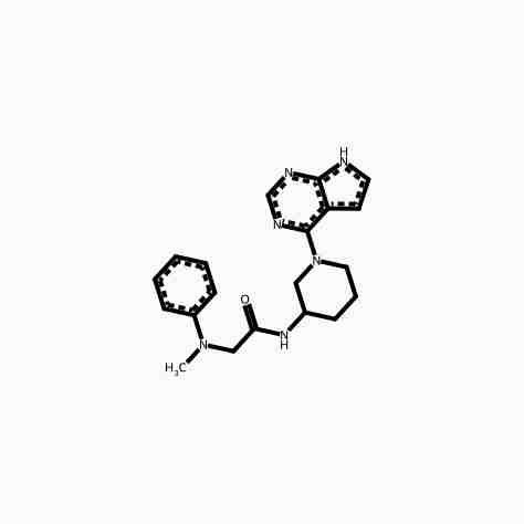 CN(CC(=O)NC1CCCN(c2ncnc3[nH]ccc23)C1)c1ccccc1